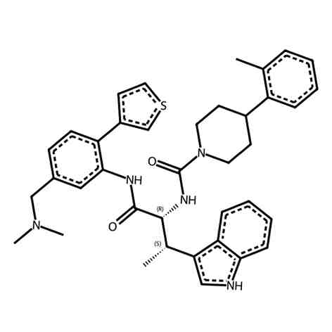 Cc1ccccc1C1CCN(C(=O)N[C@@H](C(=O)Nc2cc(CN(C)C)ccc2-c2ccsc2)[C@@H](C)c2c[nH]c3ccccc23)CC1